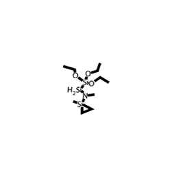 CCO[Si](OCC)(OCC)[SiH2]N(C)[Si]1(C)CC1